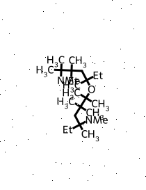 CCC(C)(CC(C)(C)C(C)(C)OC(C)(CC)CC(C)(CC)C(C)(C)NC)NC